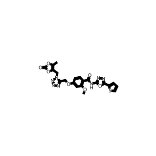 COc1cc(OCc2nnnn2Cc2oc(=O)oc2C)ccc1C(=O)Nc1nnc(-c2cccs2)o1